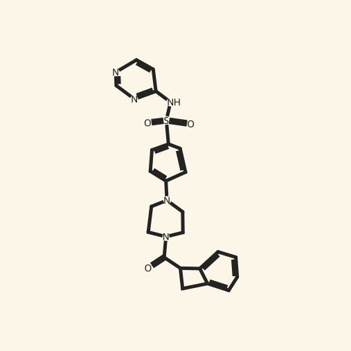 O=C(C1Cc2ccccc21)N1CCN(c2ccc(S(=O)(=O)Nc3ccncn3)cc2)CC1